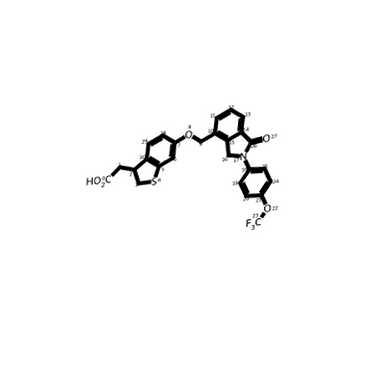 O=C(O)CC1CSc2cc(OCc3cccc4c3CN(c3ccc(OC(F)(F)F)cc3)C4=O)ccc21